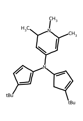 CC1=CC(N(C2=C=C(C(C)(C)C)C=C2)C2=CC=C(C(C)(C)C)C2)=CC(C)N1C